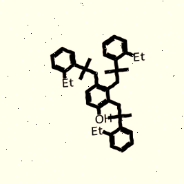 CCc1ccccc1C(C)(C)Cc1ccc(O)c(CC(C)(C)c2ccccc2CC)c1CC(C)(C)c1ccccc1CC